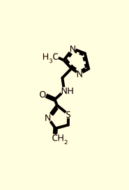 C=C1CSC(C(=O)NCc2nccnc2C)=N1